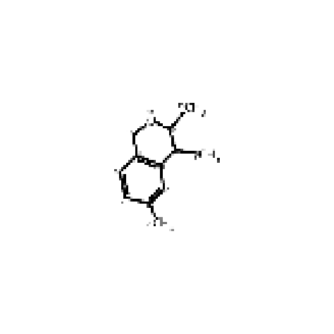 Cc1ccc2c(c1)C(C)C(C)OC2